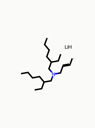 [CH2]C=CCN(CC(CC)CCCC)CC(CC)CCCC.[LiH]